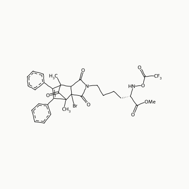 COC(=O)[C@H](CCCCN1C(=O)C2C3(C)C(=O)C(C)(C(c4ccccc4)=C3c3ccccc3)C2(Br)C1=O)NOC(=O)C(F)(F)F